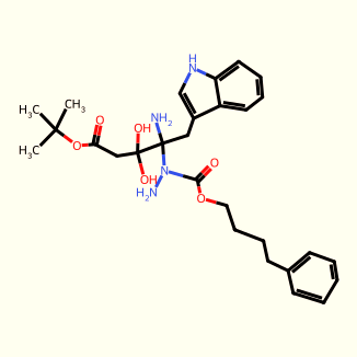 CC(C)(C)OC(=O)CC(O)(O)C(N)(Cc1c[nH]c2ccccc12)N(N)C(=O)OCCCCc1ccccc1